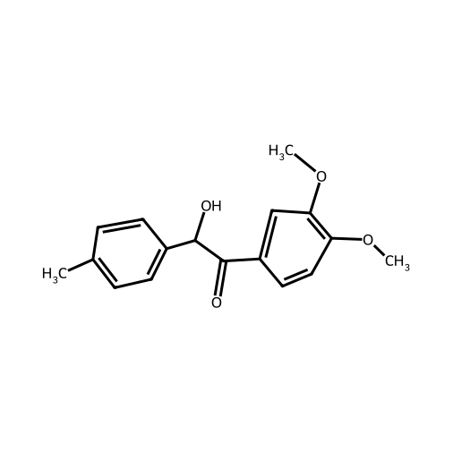 COc1ccc(C(=O)C(O)c2ccc(C)cc2)cc1OC